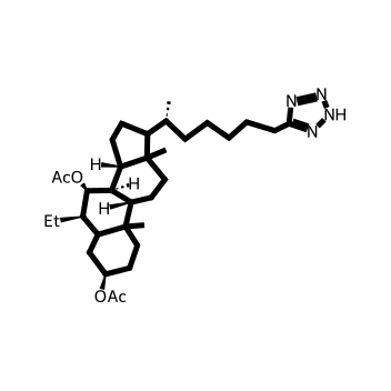 CC[C@@H]1C2C[C@H](OC(C)=O)CCC2(C)[C@H]2CCC3(C)C([C@H](C)CCCCCc4nn[nH]n4)CC[C@H]3[C@@H]2[C@@H]1OC(C)=O